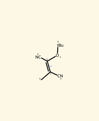 C/C(C#N)=C(\C#N)OC(C)(C)C